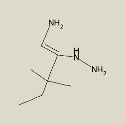 CCC(C)(C)/C(=C/N)NN